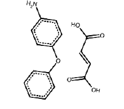 Nc1ccc(Oc2ccccc2)cc1.O=C(O)C=CC(=O)O